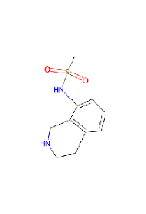 CS(=O)(=O)Nc1cccc2c1CNCC2